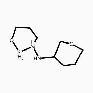 C1CCC(N[SiH]2CCCO[SiH2]2)CC1